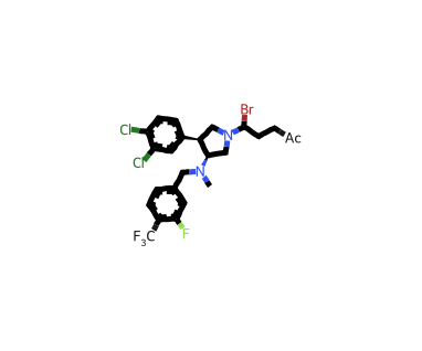 CC(=O)CCC(Br)N1C[C@H](c2ccc(Cl)c(Cl)c2)[C@H](N(C)Cc2ccc(C(F)(F)F)c(F)c2)C1